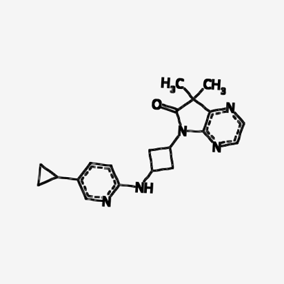 CC1(C)C(=O)N(C2CC(Nc3ccc(C4CC4)cn3)C2)c2nccnc21